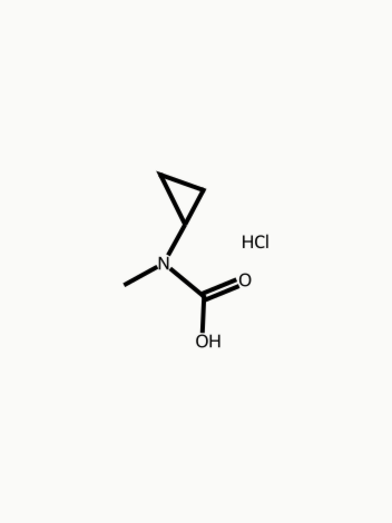 CN(C(=O)O)C1CC1.Cl